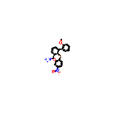 COc1ccccc1-c1cccc(C(N)=O)c1Sc1ccc([N+](=O)[O-])cc1